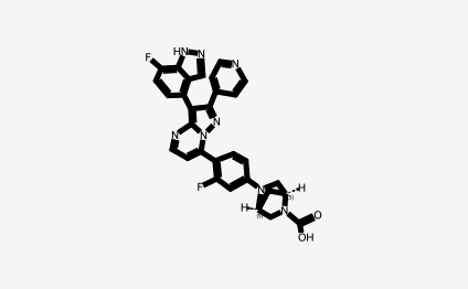 O=C(O)N1C[C@@H]2C[C@H]1CN2c1ccc(-c2ccnc3c(-c4ccc(F)c5[nH]ncc45)c(-c4ccncc4)nn23)c(F)c1